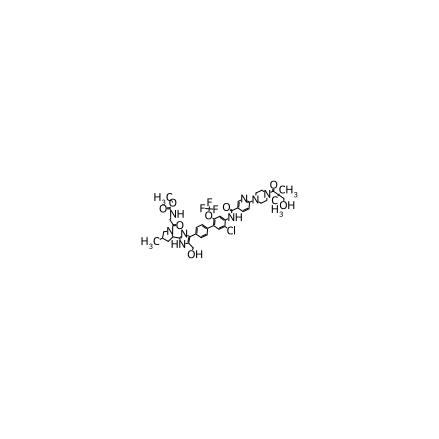 COC(=O)NCC(=O)N1CC(C)CC1c1nc(-c2ccc(-c3cc(Cl)c(NC(=O)c4ccc(N5CCN(C(=O)C(C)(C)CO)CC5)nc4)cc3OC(F)(F)F)cc2)c(CO)[nH]1